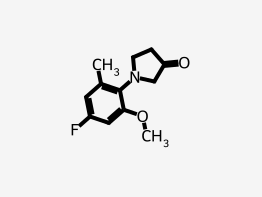 COc1cc(F)cc(C)c1N1CCC(=O)C1